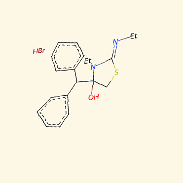 Br.CCN=C1SCC(O)(C(c2ccccc2)c2ccccc2)N1CC